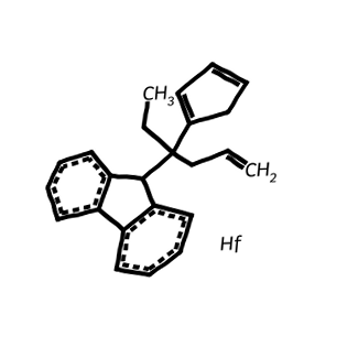 C=CCC(CC)(C1=CC=CC1)C1c2ccccc2-c2ccccc21.[Hf]